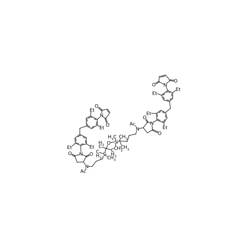 CCc1cc(Cc2cc(CC)c(N3C(=O)CC(N(CCCC(C)(C)[Si](C)(C)OC(C)(C)[Si](C)(C)CCCN(C(C)=O)C4CC(=O)N(c5c(CC)cc(Cc6cc(CC)c(N7C(=O)C=CC7=O)c(CC)c6)cc5CC)C4=O)C(C)=O)C3=O)c(CC)c2)cc(CC)c1N1C(=O)C=CC1=O